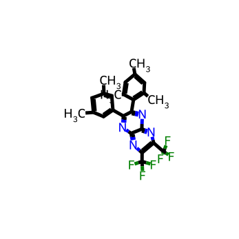 Cc1cc(C)cc(-c2nc3nc(C(F)(F)F)c(C(F)(F)F)nc3nc2-c2c(C)cc(C)cc2C)c1